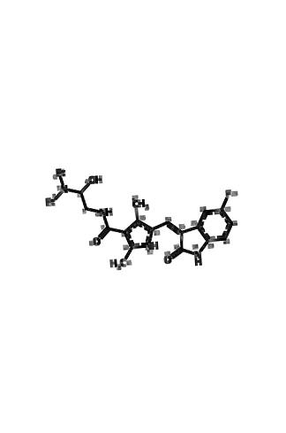 CCN(CC)C(O)CNC(=O)c1c(C)[nH]c(/C=C2\C(=O)Nc3ccc(F)cc32)c1C